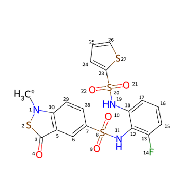 Cn1sc(=O)c2cc(S(=O)(=O)Nc3c(F)cccc3NS(=O)(=O)c3cccs3)ccc21